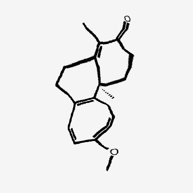 COc1ccc2c(c1)[C@]1(C)CCC(=O)C(C)=C1CC2